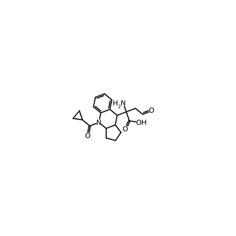 NC(CC=O)(C(=O)O)C1c2ccccc2N(C(=O)C2CC2)C2CCCC21